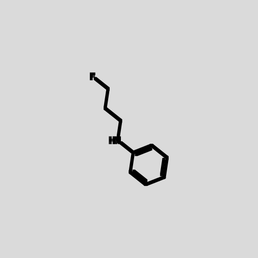 FCCCNc1ccccc1